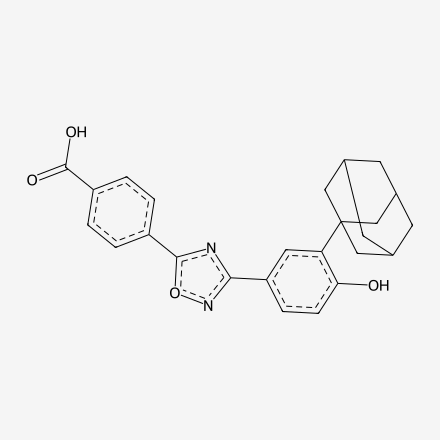 O=C(O)c1ccc(-c2nc(-c3ccc(O)c(C45CC6CC(CC(C6)C4)C5)c3)no2)cc1